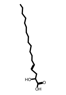 CCCCCCCCCCCCCC=CCC(O)C(=O)O